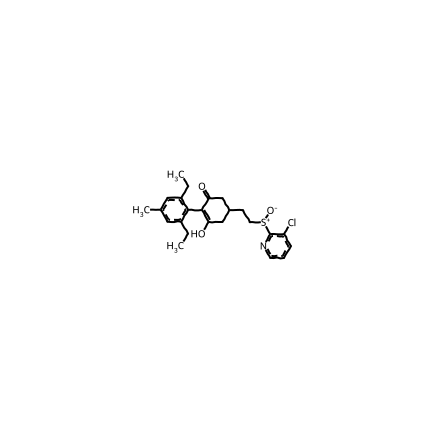 CCc1cc(C)cc(CC)c1C1=C(O)CC(CC[S+]([O-])c2ncccc2Cl)CC1=O